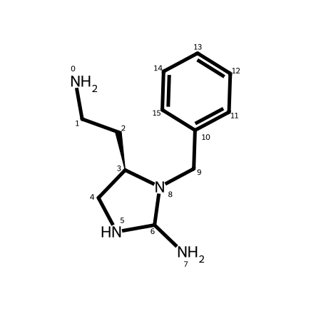 NCC[C@@H]1CNC(N)N1Cc1ccccc1